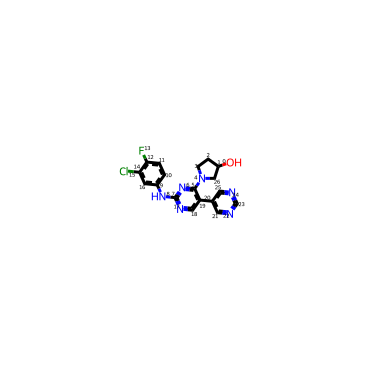 OC1CCN(c2nc(Nc3ccc(F)c(Cl)c3)ncc2-c2cncnc2)C1